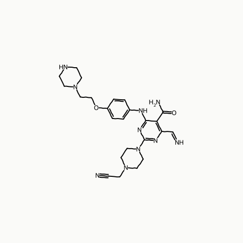 N#CCN1CCN(c2nc(C=N)c(C(N)=O)c(Nc3ccc(OCCN4CCNCC4)cc3)n2)CC1